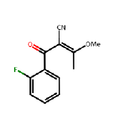 COC(C)=C(C#N)C(=O)c1ccccc1F